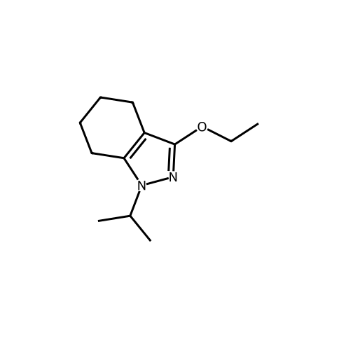 CCOc1nn(C(C)C)c2c1CCCC2